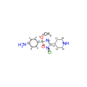 COC1(c2ccc(N)cc2)N=C(C2CCNCC2)N(Cl)O1